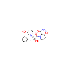 NC(=O)C1C(O)CCCN1C(=O)[C@H](O)[C@H](Cc1ccccc1)N1CCCC(O)C1